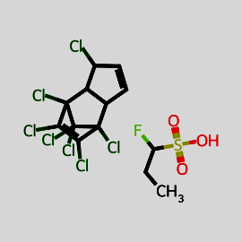 CCC(F)S(=O)(=O)O.ClC1=C(Cl)C2(Cl)C3C(Cl)C=CC3C1(Cl)C2(Cl)Cl